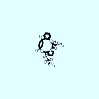 CC[C@H]1Oc2ccccc2[C@H]2CC[C@H](CC2)OC[C@H]2[C@@H](NS(C)(=O)=O)CCN2C1=O